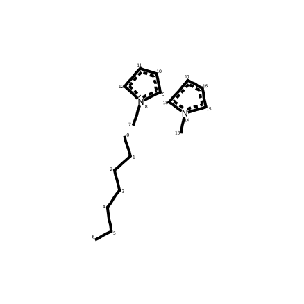 CCCCCCC.Cn1cccc1.Cn1cccc1